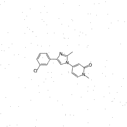 Cc1nc(-c2cccc(Cl)c2)cn1-c1ccn(C)c(=O)c1